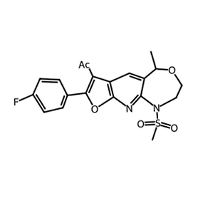 CC(=O)c1c(-c2ccc(F)cc2)oc2nc3c(cc12)C(C)OCCN3S(C)(=O)=O